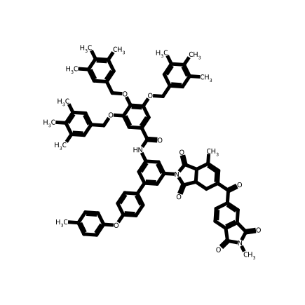 CC1=C=C(C(=O)c2ccc3c(c2)C(=O)N(C)C3=O)CC2C(=O)N(c3cc(NC(=O)c4cc(OCc5cc(C)c(C)c(C)c5)c(OCc5cc(C)c(C)c(C)c5)c(OCc5cc(C)c(C)c(C)c5)c4)cc(-c4ccc(Oc5ccc(C)cc5)cc4)c3)C(=O)C12